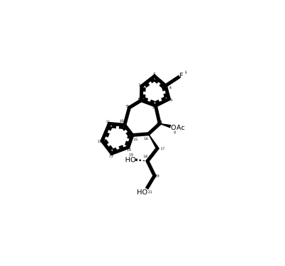 CC(=O)O[C@@H]1c2cc(F)ccc2Cc2ccccc2[C@@H]1C[C@@H](O)CO